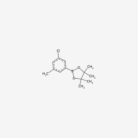 Cc1cc(Cl)cc(B2OC(C)(C)C(C)(C)O2)c1